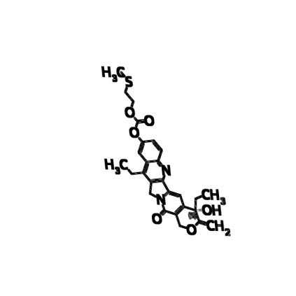 C=C1OCc2c(cc3n(c2=O)Cc2c-3nc3ccc(OC(=O)OCCSC)cc3c2CC)[C@@]1(O)CC